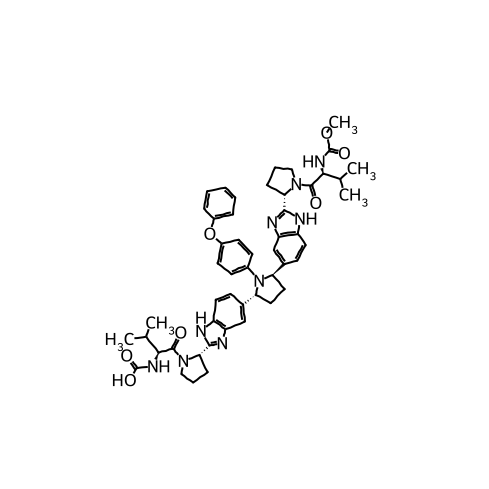 COC(=O)N[C@H](C(=O)N1CCC[C@H]1c1nc2cc([C@H]3CC[C@H](c4ccc5[nH]c([C@@H]6CCCN6C(=O)[C@@H](NC(=O)O)C(C)C)nc5c4)N3c3ccc(Oc4ccccc4)cc3)ccc2[nH]1)C(C)C